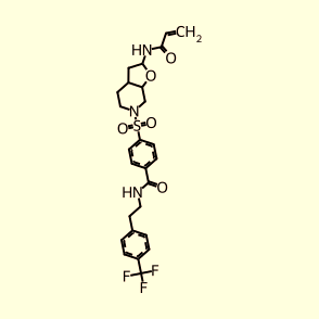 C=CC(=O)NC1CC2CCN(S(=O)(=O)c3ccc(C(=O)NCCc4ccc(C(F)(F)F)cc4)cc3)CC2O1